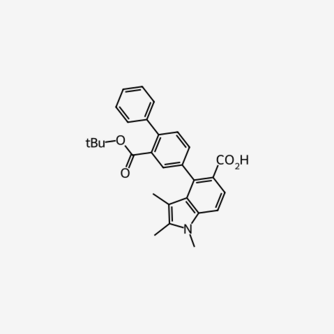 Cc1c(C)n(C)c2ccc(C(=O)O)c(-c3ccc(-c4ccccc4)c(C(=O)OC(C)(C)C)c3)c12